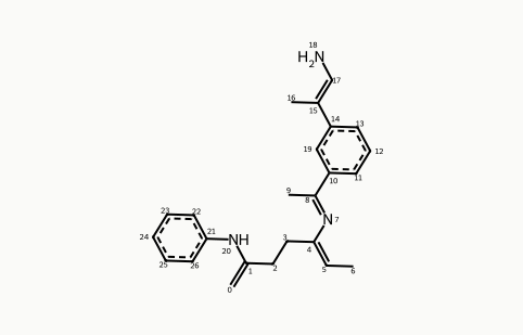 C=C(CCC(=C/C)/N=C(\C)c1cccc(/C(C)=C/N)c1)Nc1ccccc1